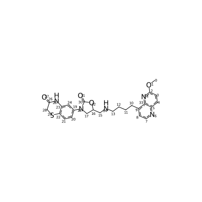 COc1ccc2nccc(CCCCNCC3CN(c4ccc5c(c4)NC(=O)CS5)C(=O)O3)c2n1